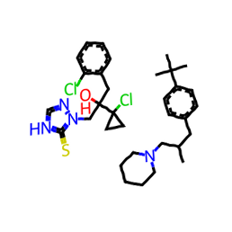 CC(Cc1ccc(C(C)(C)C)cc1)CN1CCCCC1.OC(Cc1ccccc1Cl)(Cn1nc[nH]c1=S)C1(Cl)CC1